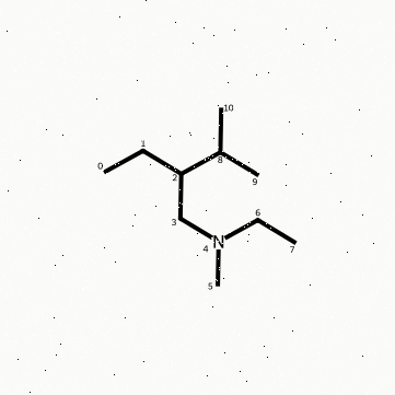 CCC(CN(C)CC)C(C)C